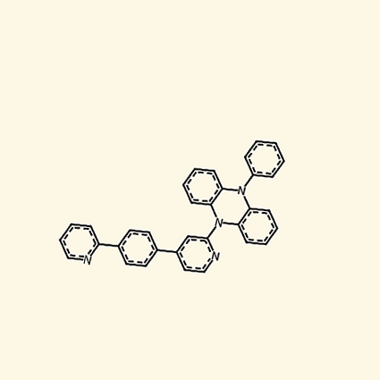 c1ccc(N2c3ccccc3N(c3cc(-c4ccc(-c5ccccn5)cc4)ccn3)c3ccccc32)cc1